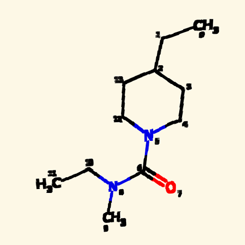 CCC1CCN(C(=O)N(C)CC)CC1